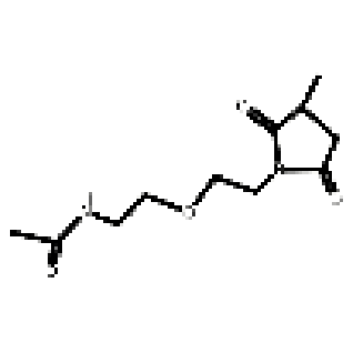 CC(=O)NCCOCCN1C(=O)CC(C)C1=O